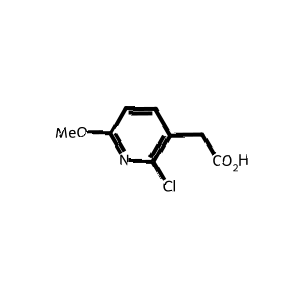 COc1ccc(CC(=O)O)c(Cl)n1